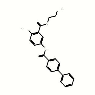 COCCNC(=O)c1cc(NC(=O)c2ccc(-c3ccccc3)cc2)ccc1OC